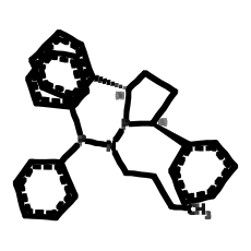 CCCCN(P(c1ccccc1)c1ccccc1)P1[C@H](c2ccccc2)CC[C@H]1c1ccccc1